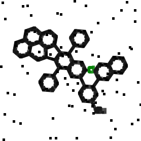 CC(C)(C)c1ccc(-c2cc3c(-c4ccccc4)c4c(c(-c5ccccc5)c3cc2Cl)-c2ccc3ccc5cccc6cc-4c2c3c56)c(-c2ccc3ccccc3c2)c1